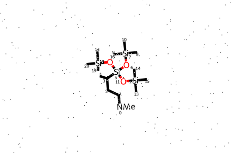 CNCCC(C)[Si](O[Si](C)(C)C)(O[Si](C)(C)C)O[Si](C)(C)C